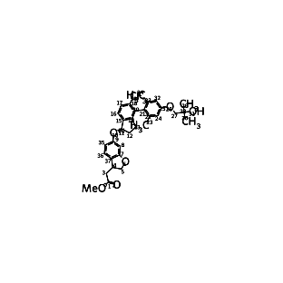 COC(=O)CC1COc2cc(O[C@@H]3CCc4c3ccc(C(F)(F)F)c4-c3c(C)cc(OCC(C)(C)O)cc3C)ccc21